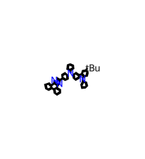 CC(C)(C)c1ccc2c(c1)c1cc(N(c3ccccc3)c3ccc(-c4cnc5c6ccccc6c6ccccc6c5n4)cc3)ccc1n2-c1ccccc1